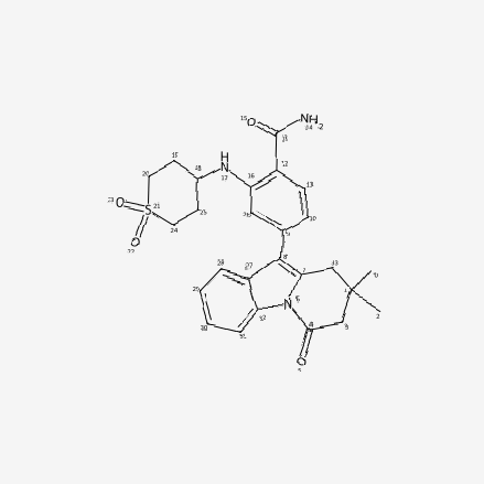 CC1(C)CC(=O)n2c(c(-c3ccc(C(N)=O)c(NC4CCS(=O)(=O)CC4)c3)c3ccccc32)C1